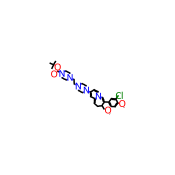 COc1cc(OC)c(C2=CN3C=CC(N4CCN(CCN5CCN(C(=O)OC(C)(C)C)CC5)CC4)=CC3=CCC2C)cc1Cl